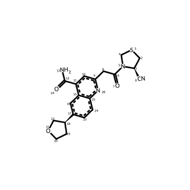 N#C[C@@H]1CSCN1C(=O)Cc1cc(C(N)=O)c2cc([C@H]3CCOC3)ccc2n1